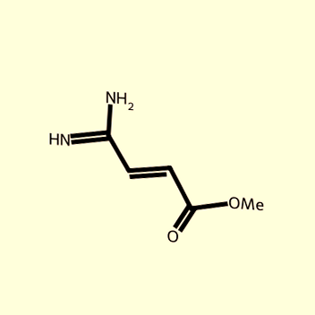 COC(=O)C=CC(=N)N